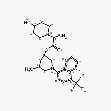 CC(C(=O)N[C@@H]1C[C@H](C)CN(c2ccc(C(F)(F)F)c3nccnc23)C1)N1CCC(O)CC1